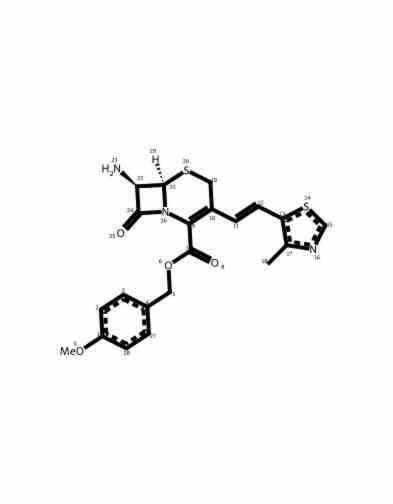 COc1ccc(COC(=O)C2=C(/C=C/c3scnc3C)CS[C@@H]3[C@H](N)C(=O)N23)cc1